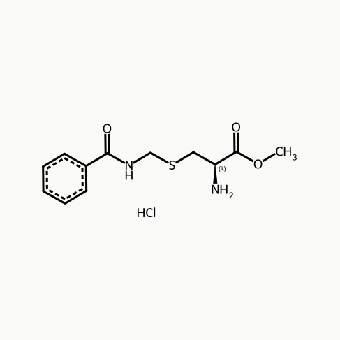 COC(=O)[C@@H](N)CSCNC(=O)c1ccccc1.Cl